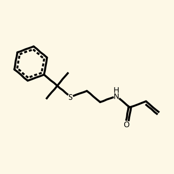 C=CC(=O)NCCSC(C)(C)c1ccccc1